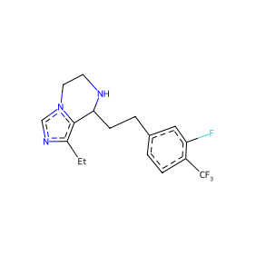 CCc1ncn2c1C(CCc1ccc(C(F)(F)F)c(F)c1)NCC2